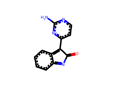 Nc1nccc(C2=c3ccccc3=NC2=O)n1